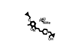 CNC.Cc1c(OCC2CC2)ccc2c(CCC3CCN(CC4(CO)CC4)CC3)noc12.Cl.Cl